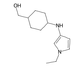 CCn1ccc(NC2CCC(CO)CC2)c1